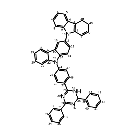 C1=Cc2c(c3ccccc3n2-c2ccc3c(c2)c2ccccc2n3-c2ccc(C3=NC(c4ccccc4)=NC(c4ccccc4)N3)cc2)CC1